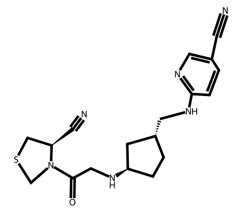 N#Cc1ccc(NC[C@@H]2CC[C@@H](NCC(=O)N3CSC[C@H]3C#N)C2)nc1